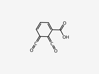 O=C=c1cccc(C(=O)O)c1=C=O